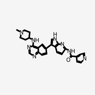 CN1CCC(Nc2ncnc3ccc(-c4c[nH]c5nc(NC(=O)c6ccncc6)ccc45)cc23)CC1